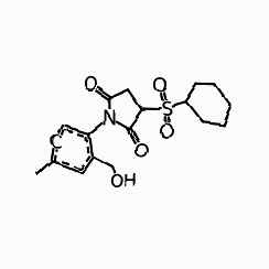 Cc1ccc(N2C(=O)CC(S(=O)(=O)C3CCCCC3)C2=O)c(CO)c1